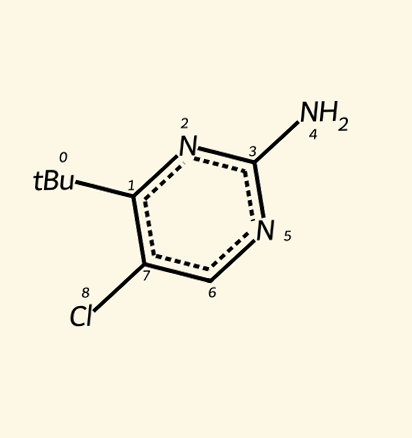 CC(C)(C)c1nc(N)ncc1Cl